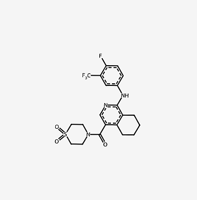 O=C(c1cnc(Nc2ccc(F)c(C(F)(F)F)c2)c2c1CCCC2)N1CCS(=O)(=O)CC1